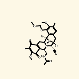 COCOc1c(OC)c(C)cc2c1[C@@H]1C3CC4=C(C(=O)C(OC)=C(C)C4=O)[C@H](CNC(C)=O)N3[C@@H](C#N)[C@@H](C2)N1C